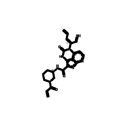 C=C/C=C(\C=N)N1C(=O)Nc2c(C(=O)N[C@@H]3CCCN(C(=O)C=C)C3)sc3nccc1c23